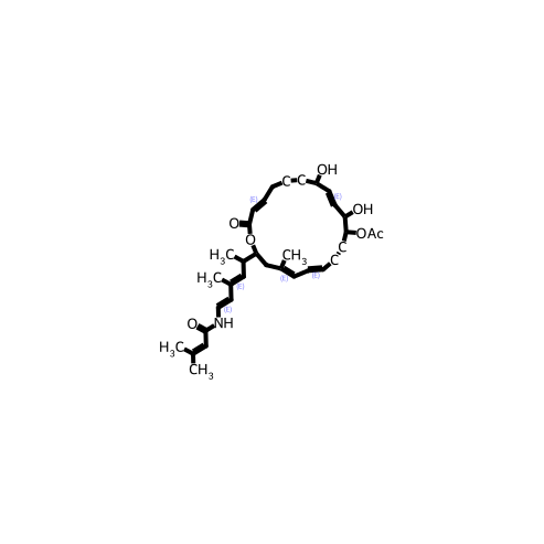 CC(=O)OC1CC/C=C/C=C(\C)CC(C(C)/C=C(C)/C=C/NC(=O)C=C(C)C)OC(=O)/C=C/CCCC(O)/C=C/C1O